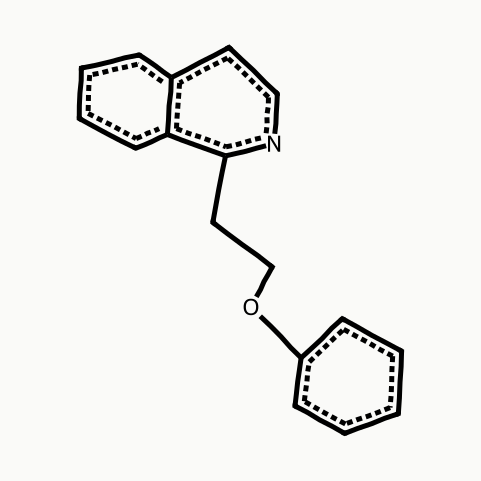 c1ccc(OCCc2nccc3ccccc23)cc1